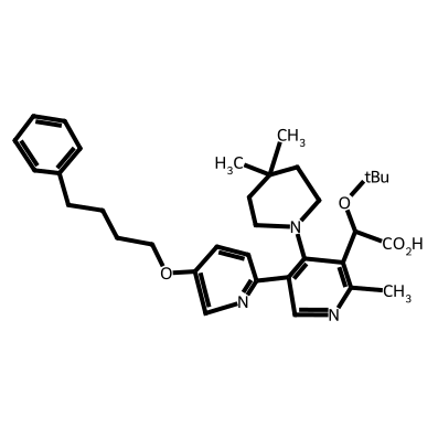 Cc1ncc(-c2ccc(OCCCCc3ccccc3)cn2)c(N2CCC(C)(C)CC2)c1C(OC(C)(C)C)C(=O)O